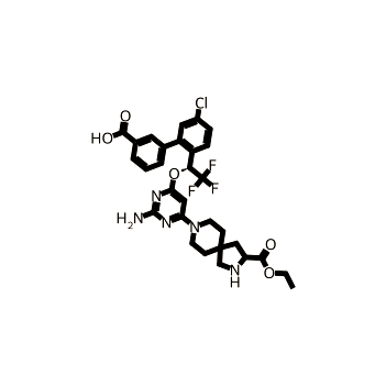 CCOC(=O)C1CC2(CCN(c3cc(O[C@H](c4ccc(Cl)cc4-c4cccc(C(=O)O)c4)C(F)(F)F)nc(N)n3)CC2)CN1